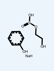 O=[Si](O)OCCO.Oc1ccccc1.[NaH]